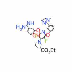 CCOC(=O)C1CCCN(c2c(F)c(Oc3cccc(-c4nccn4C)c3)nc(Oc3cc(C(=N)N)ccc3O)c2F)C1